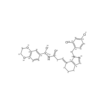 O=C(C/C=C1\CCCc2cnn(Cc3ccc(Cl)cc3Cl)c21)N[S+]([O-])c1ccc2c(c1)OCCO2